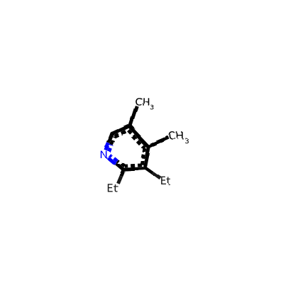 CCc1ncc(C)c(C)c1CC